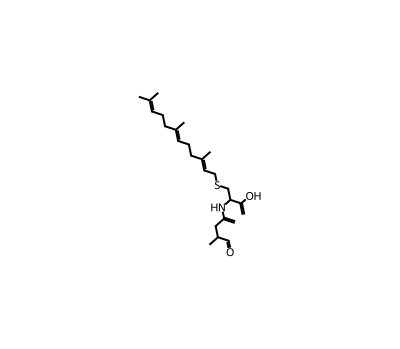 C=C(CC(C)C=O)NC(CSC/C=C(\C)CC/C=C(\C)CCC=C(C)C)C(=C)O